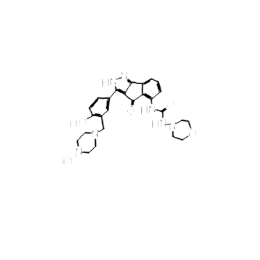 CC(C)N1CCN(Cc2cc(-c3[nH]nc4c3C(=O)c3c(NC(=O)NN5CCOCC5)cccc3-4)ccc2O)CC1